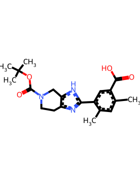 Cc1cc(C)c(-c2nc3c([nH]2)CN(C(=O)OC(C)(C)C)CC3)cc1C(=O)O